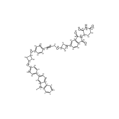 Cn1c2ccncc2c2ccc(-c3ccc(OC4CC(Oc5ccc(C#CCOC6CN(c7ccc8c(c7)C(=O)N(C7CCC(=O)NC7=O)C8=O)C6)nc5)C4)nc3)cc21